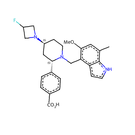 COc1cc(C)c2[nH]ccc2c1CN1CC[C@H](N2CC(F)C2)C[C@H]1c1ccc(C(=O)O)cc1